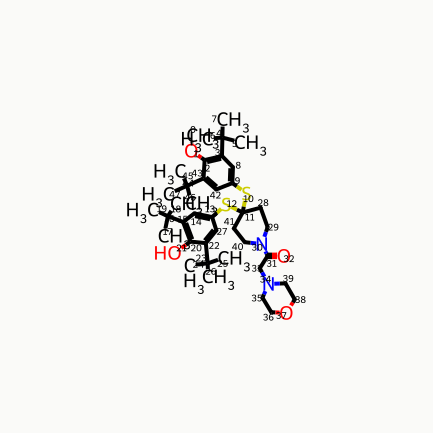 COc1c(C(C)(C)C)cc(SC2(Sc3cc(C(C)(C)C)c(O)c(C(C)(C)C)c3)CCN(C(=O)CN3CCOCC3)CC2)cc1C(C)(C)C